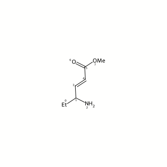 CCC(N)/C=C/C(=O)OC